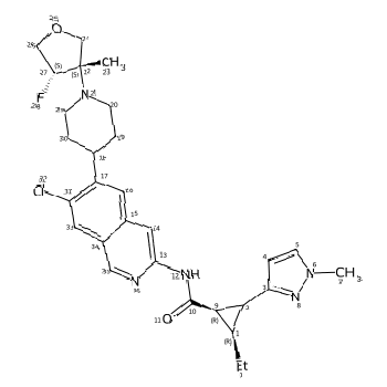 CC[C@@H]1C(c2ccn(C)n2)[C@@H]1C(=O)Nc1cc2cc(C3CCN([C@@]4(C)COC[C@H]4F)CC3)c(Cl)cc2cn1